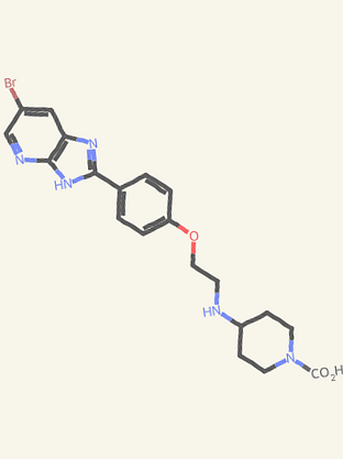 O=C(O)N1CCC(NCCOc2ccc(-c3nc4cc(Br)cnc4[nH]3)cc2)CC1